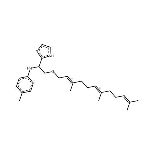 CC(C)=CCC/C(C)=C/CC/C(C)=C/CSCC(Nc1ccc(C)cn1)c1ncc[nH]1